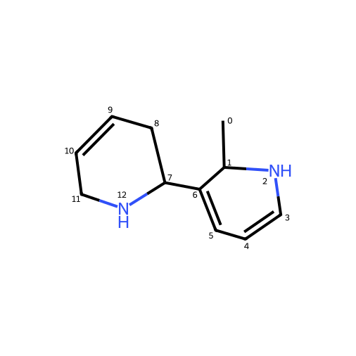 CC1NC=CC=C1C1CC=CCN1